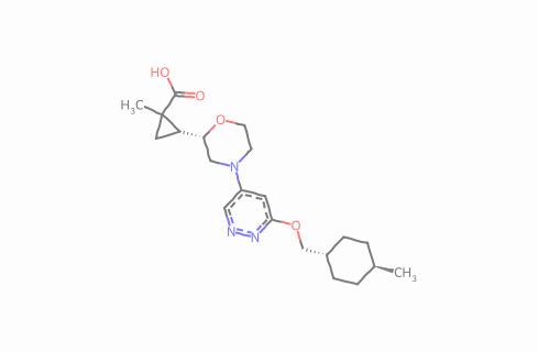 CC1(C(=O)O)CC1[C@H]1CN(c2cnnc(OC[C@H]3CC[C@H](C)CC3)c2)CCO1